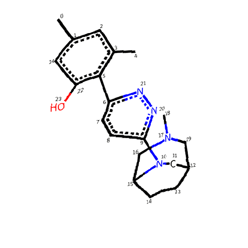 Cc1cc(C)c(-c2ccc(N3CC4CCC3CN(C)C4)nn2)c(O)c1